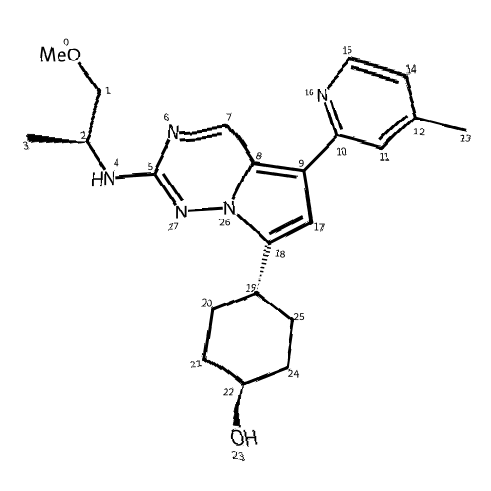 COC[C@H](C)Nc1ncc2c(-c3cc(C)ccn3)cc([C@H]3CC[C@H](O)CC3)n2n1